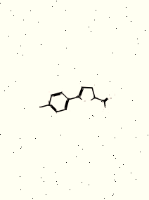 O=C(O)C1CC=C(c2ccc(Cl)cc2)O1